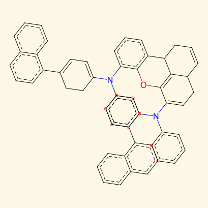 C1=CC2CC=C(N(c3ccccc3)c3ccccc3)C3=C2C(C1)c1cccc(N(C2=CC=C(c4cccc5ccccc45)CC2)c2ccc(-c4cccc5ccccc45)cc2)c1O3